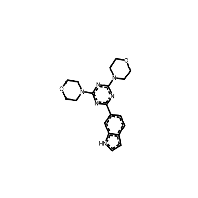 c1cc2ccc(-c3nc(N4CCOCC4)nc(N4CCOCC4)n3)cc2[nH]1